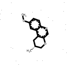 COc1ccc2ncc3c(c2c1)C[C@@H](C)CO3